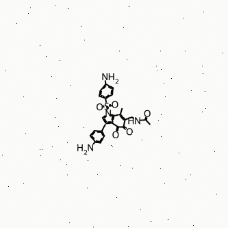 CC(=O)NCC1=C(C)c2c(c(-c3ccc(N)cc3)cn2S(=O)(=O)c2ccc(N)cc2)C(=O)C1=O